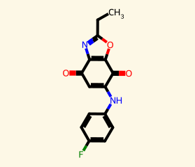 CCc1nc2c(o1)C(=O)C(Nc1ccc(F)cc1)=CC2=O